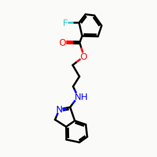 O=C(OCCCNC1=NCc2ccccc21)c1ccccc1F